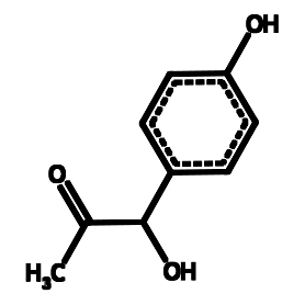 CC(=O)C(O)c1ccc(O)cc1